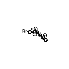 O=C(c1sc2cc(Br)ccc2c1Cl)N1CC(N2CC(N3Cc4ccccc4C3=O)C2)C1